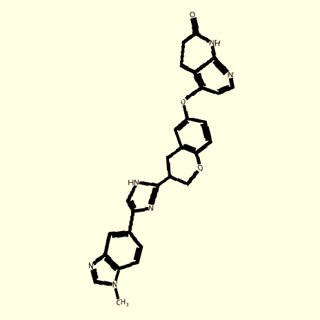 Cn1cnc2cc(-c3c[nH]c(C4COc5ccc(Oc6ccnc7c6CCC(=O)N7)cc5C4)n3)ccc21